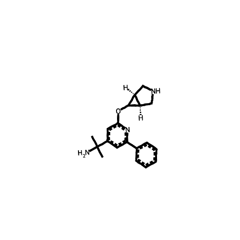 CC(C)(N)c1cc(OC2[C@H]3CNC[C@@H]23)nc(-c2ccccc2)c1